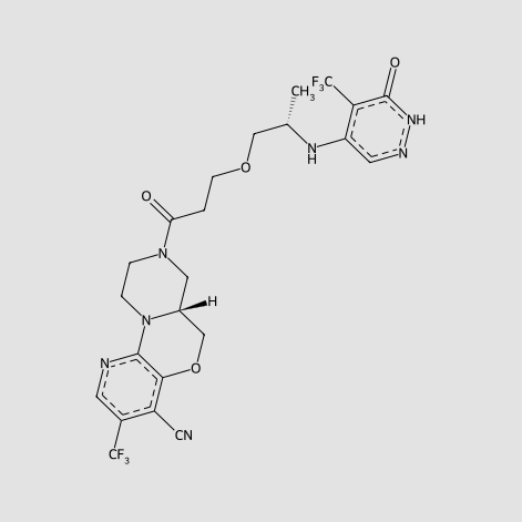 C[C@@H](COCCC(=O)N1CCN2c3ncc(C(F)(F)F)c(C#N)c3OC[C@H]2C1)Nc1cn[nH]c(=O)c1C(F)(F)F